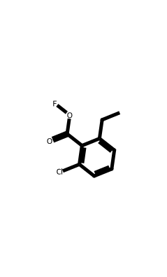 CCc1cccc(Cl)c1C(=O)OF